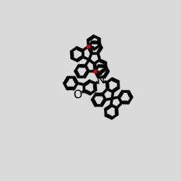 c1ccc(-c2ccccc2C2(c3ccccc3-c3ccccc3)c3ccccc3-c3ccc(N(c4ccc5oc6ccccc6c5c4)c4cccc5c4-c4ccccc4C54c5ccccc5-c5ccccc54)cc32)cc1